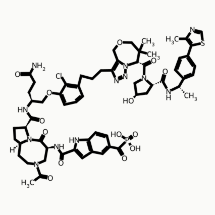 CC(=O)N1CC[C@H]2CC[C@@H](C(=O)N[C@@H](CCC(N)=O)COc3cccc(CCCc4nnn5c4COCC(C)(C)[C@@H]5C(=O)N4C[C@H](O)C[C@H]4C(=O)N[C@@H](C)c4ccc(-c5scnc5C)cc4)c3Cl)N2C(=O)[C@@H](NC(=O)c2cc3cc(C(=O)P(=O)(O)O)ccc3[nH]2)C1